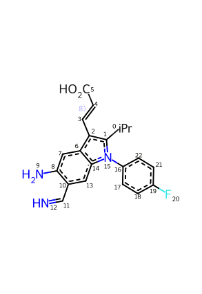 CC(C)c1c(/C=C/C(=O)O)c2cc(N)c(C=N)cc2n1-c1ccc(F)cc1